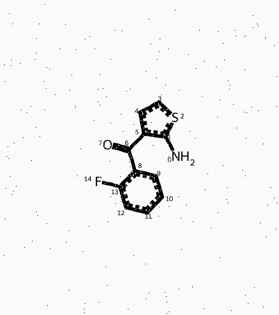 Nc1sccc1C(=O)c1ccccc1F